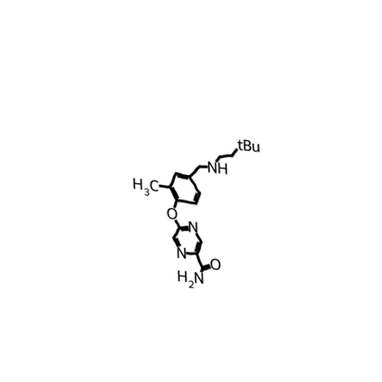 Cc1cc(CNCCC(C)(C)C)ccc1Oc1cnc(C(N)=O)cn1